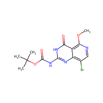 COc1ncc(Br)c2nc(NC(=O)OC(C)(C)C)[nH]c(=O)c12